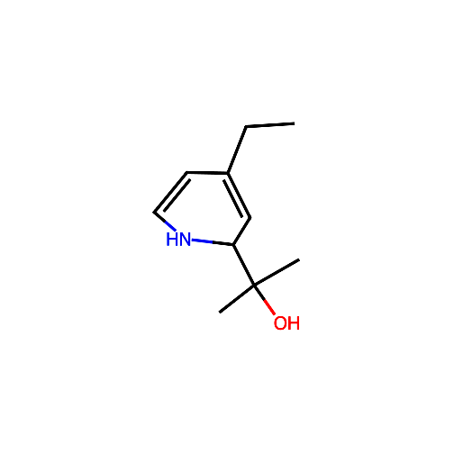 CCC1=CC(C(C)(C)O)NC=C1